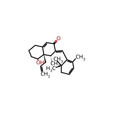 C=CC[C@@]12C(=CC(=O)/C(=C/C3=C(C)C=CCC3(C)C)[C@@H]1C)CCC[C@@H]2O